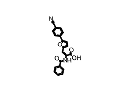 N#Cc1ccc(-c2ccc(/C=C(/NC(=O)c3ccccc3)C(=O)O)o2)cc1